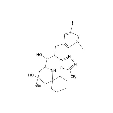 CCCCC1(O)CC(C(O)C(Cc2cc(F)cc(F)c2)c2nnc(C(F)(F)F)o2)NC2(CCCCC2)C1